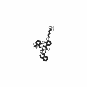 O=C(O)CCCCOc1cccc(-c2cn(Cc3c(F)cccc3C(F)(F)F)c(=O)n(C[C@@H]3NCCc4ccccc43)c2=O)c1Cl